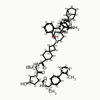 Cc1ncsc1-c1ccc([C@H](C)NC(=O)[C@@H]2C[C@@H](O)CN2C(=O)[C@@H](NC(=O)C2CCC3(CC2)CC(N2CCC(c4cnc(N5C6CCC5CN(c5cc(-c7ccccc7O)nnc5N)C6)nc4)CC2)C3)C(C)(C)C)cc1